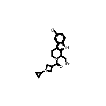 CC(C)CC1c2[nH]c3ccc(Cl)cc3c2CCN1C(=O)C1CN(C2CC2)C1